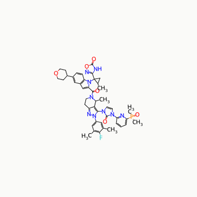 Cc1cc(-n2nc3c(c2-n2ccn(-c4cccc(P(C)(C)=O)n4)c2=O)C(C)N(C(=O)c2cc4cc(C5CCOCC5)ccc4n2C2(c4noc(=O)[nH]4)CC2C)CC3)cc(C)c1F